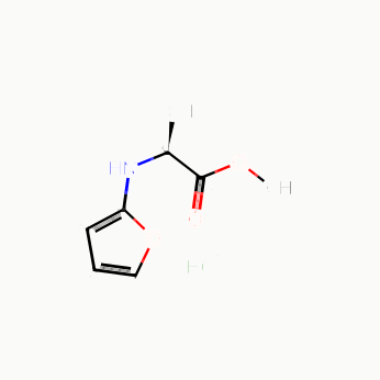 COC(=O)[C@H](C)Nc1ccco1.Cl